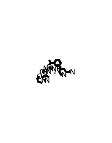 CC(C)c1cccc(-c2ccnc(C#N)c2)c1NC(=O)N=[S@](N)(=O)c1cnn2c1OCCC2